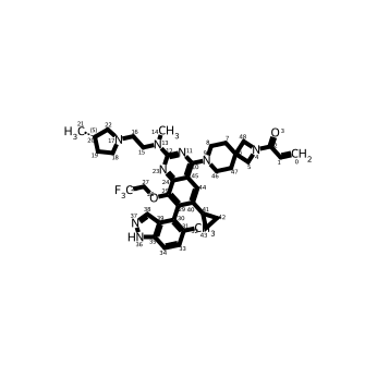 C=CC(=O)N1CC2(CCN(c3nc(N(C)CCN4CC[C@H](C)C4)nc4c(OCC(F)(F)F)c(-c5c(C)ccc6[nH]ncc56)c(C5CC5)cc34)CC2)C1